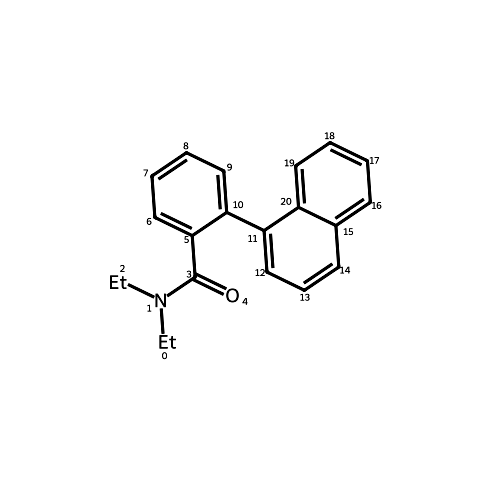 CCN(CC)C(=O)c1ccccc1-c1cccc2ccccc12